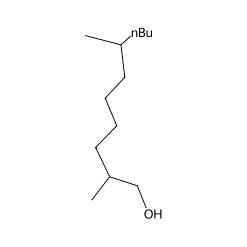 CCCCC(C)CCCCC(C)CO